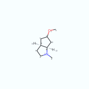 COC1C[C@@H]2CCN(C)[C@@H]2C1